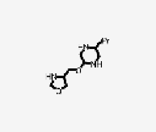 CC(C)C1CNC(OCC2COCN2)CN1